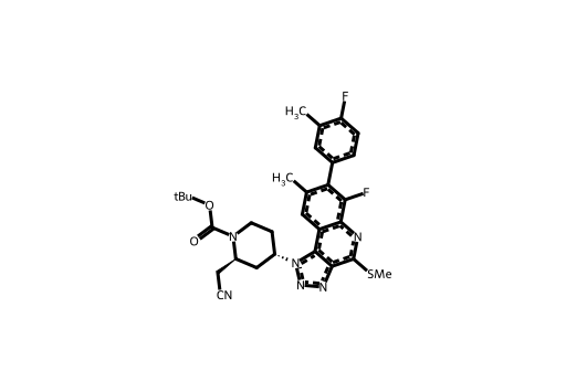 CSc1nc2c(F)c(-c3ccc(F)c(C)c3)c(C)cc2c2c1nnn2[C@H]1CCN(C(=O)OC(C)(C)C)[C@H](CC#N)C1